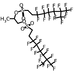 CC(COS(=O)(=O)CCC(F)(F)C(F)(F)C(F)(F)C(F)(F)C(F)(C(F)(F)F)C(F)(F)F)OS(=O)(=O)CCC(F)(F)C(F)(F)C(F)(F)C(F)(F)C(F)(C(F)(F)F)C(F)(F)F